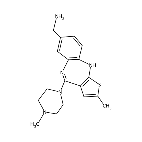 Cc1cc2c(s1)Nc1ccc(CN)cc1N=C2N1CCN(C)CC1